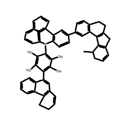 CC1CC=CC2=C1C1=C(CCc3ccc(-c4ccc(N(c5ccccc5)c5c(O)c(O)c(-c6cc7c(c8ccccc68)CCC=C7)c(O)c5O)c(-c5ccccc5)c4)cc31)C2